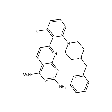 CNc1nc(N)nc2nc(-c3c(N4CCN(Cc5ccccc5)CC4)cccc3C(F)(F)F)ccc12